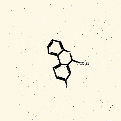 CCOC(=O)C1Oc2ccccc2-c2ccc(F)cc21